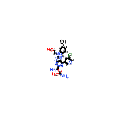 C#C[C@H]1CC[C@H](Cn2c(NCCO)nc3nc(C(=N)OC(N)O)nc(C4C=NC=C(Cl)C4)c32)CC1